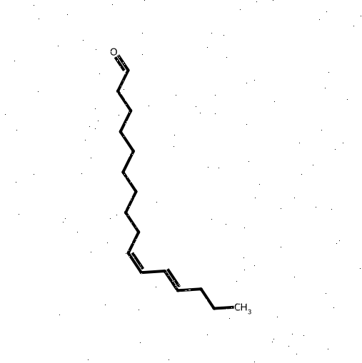 CCC/C=C/C=C\CCCCCCCCC=O